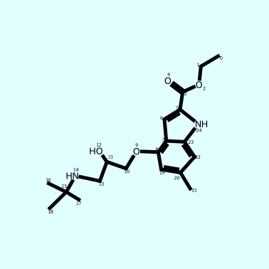 CCOC(=O)c1cc2c(OCC(O)CNC(C)(C)C)cc(C)cc2[nH]1